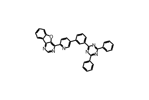 c1ccc(-c2nc(-c3ccccc3)nc(-c3cccc(-c4ccc(-c5ncnc6c5oc5ccccc56)nc4)c3)n2)cc1